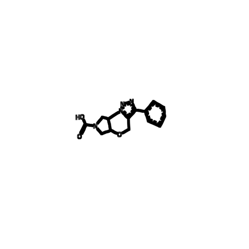 O=C(O)N1CC2OCc3c(-c4ccccc4)nnn3C2C1